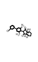 Cc1cc(-c2cccc(Cl)c2)cc(C)c1C1C(=O)[C@@H]2[C@H](C1=O)[C@H]1CC[C@@H]2O1